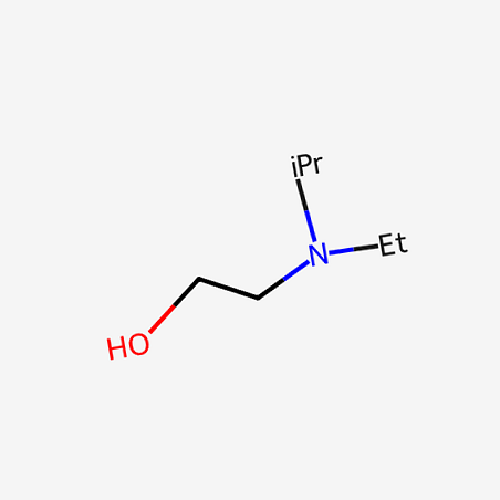 [CH2]CN(CCO)C(C)C